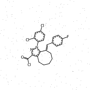 O=C(Cl)c1nn(-c2ccc(Cl)cc2Cl)c2c1CCCCCC2=Cc1ccc(F)cc1